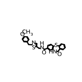 COc1ccc(Cc2ncc(CNC(=O)c3ccc4c(c3)NC(=O)c3ccccc3S4)s2)cc1